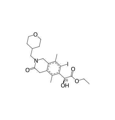 CCOC(=O)[C@@H](O)c1c(C)c2c(c(C)c1I)CN(CC1CCOCC1)C(=O)C2